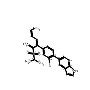 C=C(/C(=C\C=C/C)c1ccc(-c2cnc3[nH]ccc3c2)c(F)c1)S(=O)(=O)C(C)C